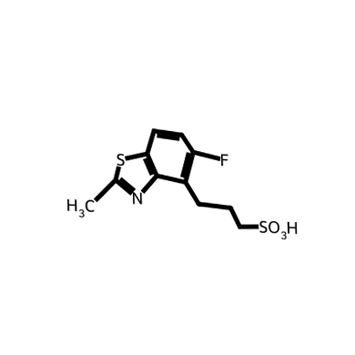 Cc1nc2c(CCCS(=O)(=O)O)c(F)ccc2s1